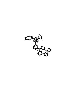 c1ccc(-c2nc(-c3ccccc3)nc(-c3cccc(-n4c5cccc6c7cccc8c9ccccc9n(c9cccc4c9c65)c78)c3)n2)cc1